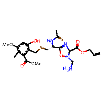 C=CCOC(=O)C1N=C([C@H](CSCc2c(O)cc(OC)c(C)c2C(=O)OC)NC(C)=S)ON1CN